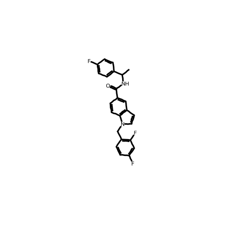 CC(NC(=O)c1ccc2c(ccn2Cc2ccc(F)cc2F)c1)c1ccc(F)cc1